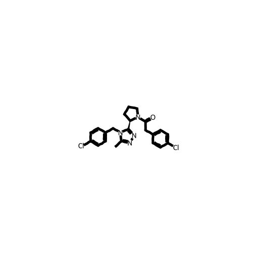 Cc1nnc([C@H]2CCCN2C(=O)Cc2ccc(Cl)cc2)n1Cc1ccc(Cl)cc1